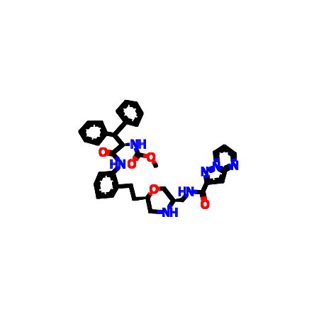 COC(=O)N[C@H](C(=O)Nc1ccccc1CC[C@@H]1CN[C@H](CNC(=O)c2cc3ncccn3n2)CO1)C(c1ccccc1)c1ccccc1